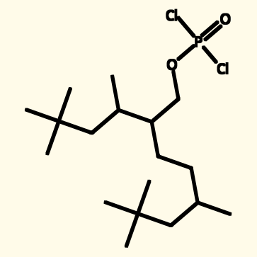 CC(CCC(COP(=O)(Cl)Cl)C(C)CC(C)(C)C)CC(C)(C)C